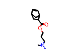 CN(C)CCCOC(=O)C1CC2C=CC1C2